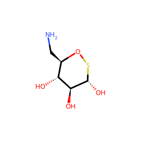 NC[C@H]1OS[C@H](O)[C@@H](O)[C@@H]1O